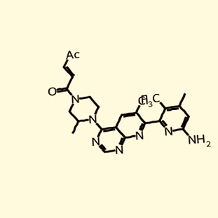 CC(=O)C=CC(=O)N1CCN(c2ncnc3nc(-c4nc(N)cc(C)c4C(F)(F)F)c(Cl)cc23)C(C)C1